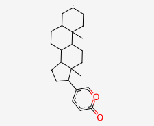 CC12CC[CH]CC1CCC1C2CCC2(C)C(c3ccc(=O)oc3)CCC12